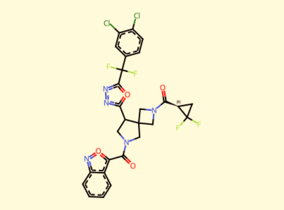 O=C(c1onc2ccccc12)N1CC(c2nnc(C(F)(F)c3ccc(Cl)c(Cl)c3)o2)C2(C1)CN(C(=O)[C@H]1CC1(F)F)C2